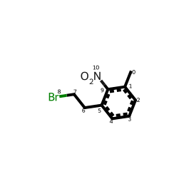 [CH2]c1cccc(CCBr)c1[N+](=O)[O-]